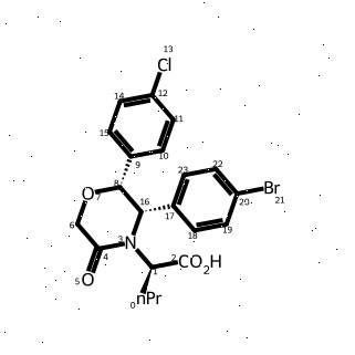 CCC[C@H](C(=O)O)N1C(=O)CO[C@H](c2ccc(Cl)cc2)[C@@H]1c1ccc(Br)cc1